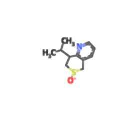 CC(C)C1C[S+]([O-])Cc2cccnc21